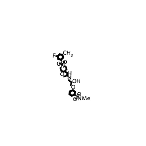 CNS(=O)(=O)c1cccc(OCC(O)CNC2COC3(CCN(S(=O)(=O)c4cc(C)cc(F)c4)CC3)C2)c1